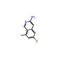 Cc1cc(Br)cc2cc(N)ncc12